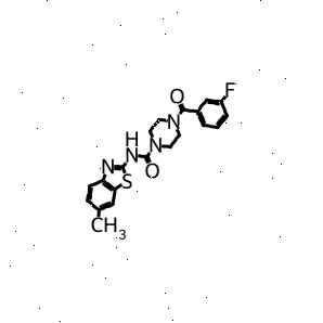 Cc1ccc2nc(NC(=O)N3CCN(C(=O)c4cccc(F)c4)CC3)sc2c1